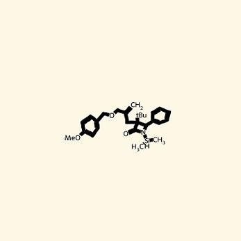 C=C(COCc1ccc(OC)cc1)CC1(C(C)(C)C)C(=O)N([SiH](C)C)C1c1ccccc1